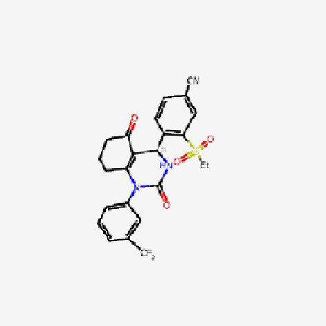 CCS(=O)(=O)c1cc(C#N)ccc1[C@H]1NC(=O)N(c2cccc(C(F)(F)F)c2)C2=C1C(=O)CCC2